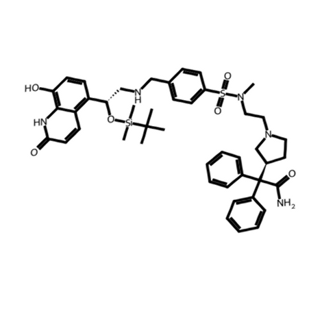 CN(CCN1CC[C@@H](C(C(N)=O)(c2ccccc2)c2ccccc2)C1)S(=O)(=O)c1ccc(CNC[C@H](O[Si](C)(C)C(C)(C)C)c2ccc(O)c3[nH]c(=O)ccc23)cc1